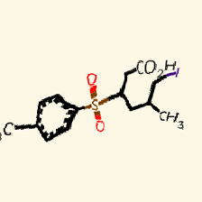 Cc1ccc(S(=O)(=O)C(CC(=O)O)CC(C)CI)cc1